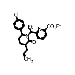 C=CCC1CCC(c2ccc(Cl)cc2)N(C(CC)c2cccc(C(=O)OCC)n2)C1=O